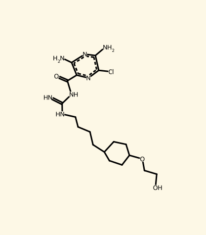 N=C(NCCCCC1CCC(OCCO)CC1)NC(=O)c1nc(Cl)c(N)nc1N